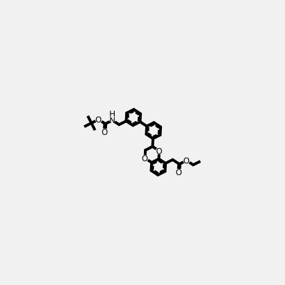 CCOC(=O)Cc1cccc2c1OC(c1cccc(-c3cccc(CNC(=O)OC(C)(C)C)c3)c1)CO2